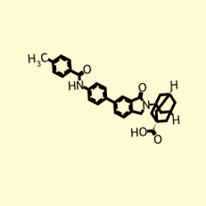 Cc1ccc(C(=O)Nc2ccc(-c3ccc4c(c3)C(=O)N([C@@]35C[C@@H]6C[C@@H](C[C@@](C(=O)O)(C6)C3)C5)C4)cc2)cc1